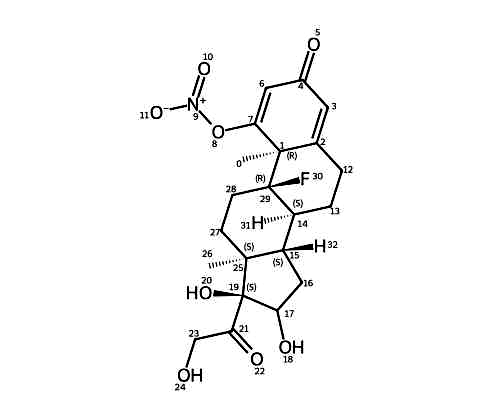 C[C@@]12C(=CC(=O)C=C1O[N+](=O)[O-])CC[C@H]1[C@@H]3CC(O)[C@](O)(C(=O)CO)[C@@]3(C)CC[C@@]12F